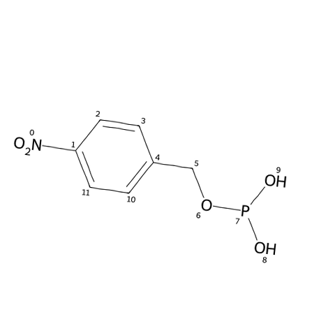 O=[N+]([O-])c1ccc(COP(O)O)cc1